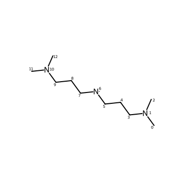 CN(C)CCC[N]CCCN(C)C